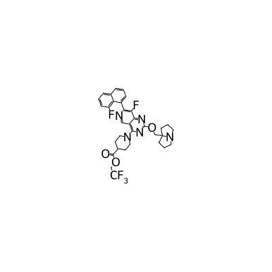 O=C(OCC(F)(F)F)C1CCN(c2nc(OCC34CCCN3CCC4)nc3c(F)c(-c4cccc5cccc(F)c45)ncc23)CC1